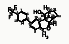 Cc1ccc(-c2ccc(C(F)(F)F)cc2)cc1C1=C(O)[C@H]2CC[C@H](C2)C1=O